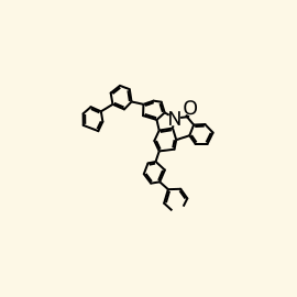 C/C=C\C(=C/C)c1cccc(-c2cc3c4ccccc4c(=O)n4c5ccc(-c6cccc(-c7ccccc7)c6)cc5c(c2)c34)c1